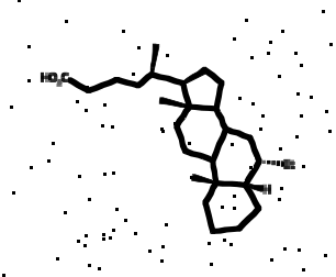 CC[C@H]1CC2C3CC[C@H]([C@H](C)CCCC(=O)O)[C@@]3(C)CCC2[C@@]2(C)CCCC[C@@H]12